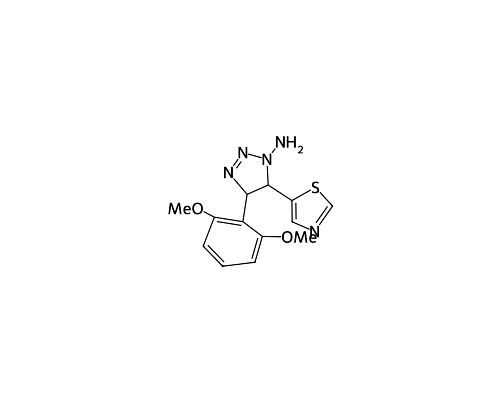 COc1cccc(OC)c1C1N=NN(N)C1c1cncs1